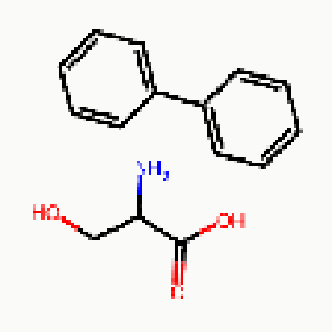 NC(CO)C(=O)O.c1ccc(-c2ccccc2)cc1